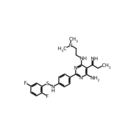 CCC(=N)c1c(N)nc(-c2ccc(NSc3cc(F)ccc3F)cc2)nc1NCCN(C)C